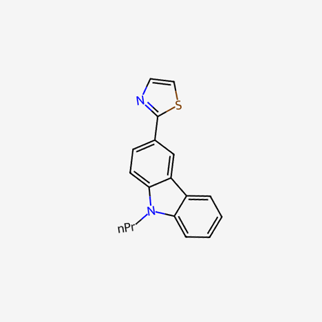 CCCn1c2ccccc2c2cc(-c3nccs3)ccc21